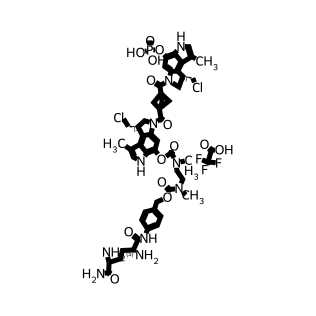 Cc1c[nH]c2c(OC(=O)N(C)CCN(C)C(=O)OCc3ccc(NC(=O)[C@@H](N)CCC(N)C(N)=O)cc3)cc3c(c12)[C@H](CCl)CN3C(=O)C12CC(C(=O)N3C[C@@H](CCl)c4c3cc(OP(=O)(O)O)c3[nH]cc(C)c43)(C1)C2.O=C(O)C(F)(F)F